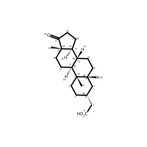 C[C@]12CC[C@@H](CC(=O)O)C[C@H]1CC[C@@H]1[C@@H]2CC[C@]2(C)C(=O)CC[C@@H]12